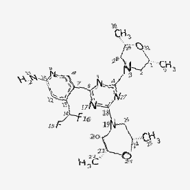 C[C@@H]1CN(c2nc(-c3cnc(N)cc3C(F)F)nc(N3C[C@@H](C)O[C@@H](C)C3)n2)C[C@H](C)O1